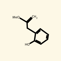 C=C(Cc1ccccc1O)OC